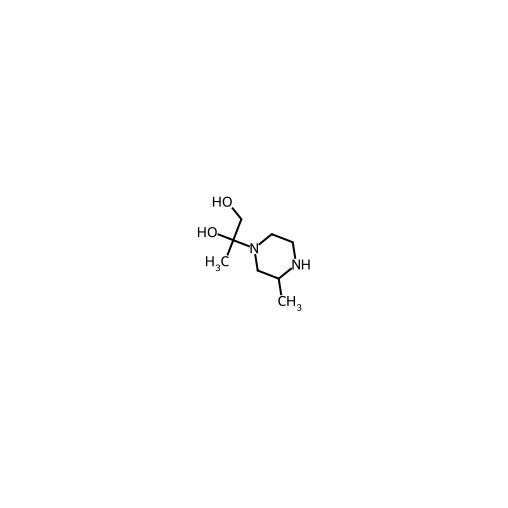 CC1CN(C(C)(O)CO)CCN1